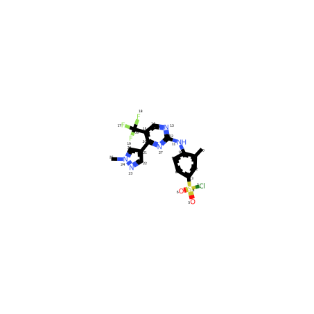 Cc1cc(S(=O)(=O)Cl)ccc1Nc1ncc(C(F)(F)F)c(-c2cnn(C)c2)n1